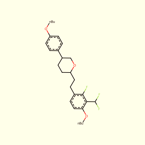 CCCCOc1ccc(C2CCC(CCc3ccc(OCCCC)c(C(F)F)c3F)OC2)cc1